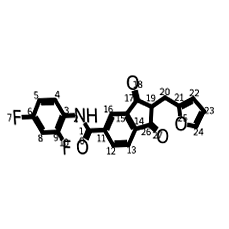 O=C(Nc1ccc(F)cc1F)c1ccc2c(c1)C(=O)C(Cc1ccco1)C2=O